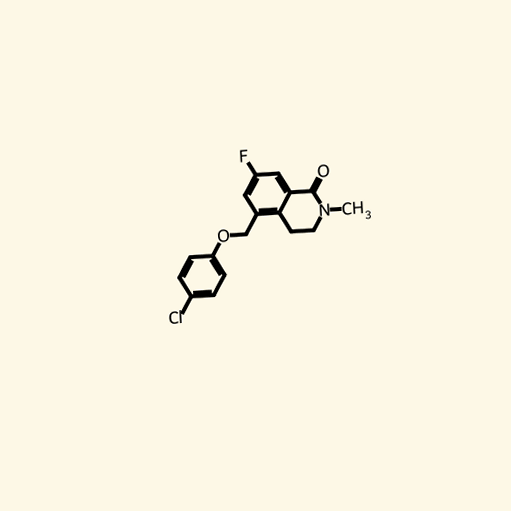 CN1CCc2c(COc3ccc(Cl)cc3)cc(F)cc2C1=O